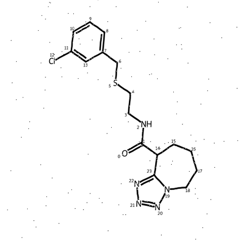 O=C(NCCSCc1cccc(Cl)c1)C1CCCCn2nnnc21